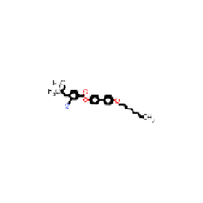 CCCCCCCCOc1ccc(-c2ccc(OC(=O)c3ccc(C[C@@H](C)CC)c(C#N)c3)cc2)cc1